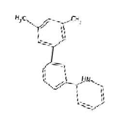 Cc1cc(C)cc(-c2cccc(C3C=CC=CN3)c2)c1